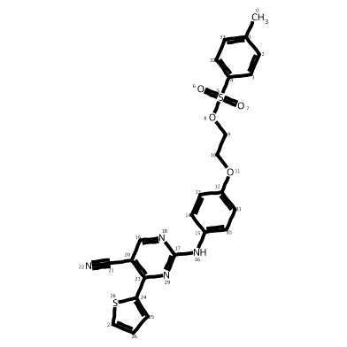 Cc1ccc(S(=O)(=O)OCCOc2ccc(Nc3ncc(C#N)c(-c4cccs4)n3)cc2)cc1